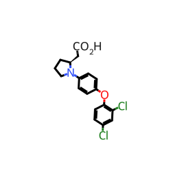 O=C(O)C[C@@H]1CCCN1c1ccc(Oc2ccc(Cl)cc2Cl)cc1